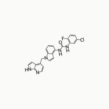 O=C(Nc1cc(Cl)ccc1F)Nc1cccc2c1ccn2Cc1ccnc2[nH]ccc12